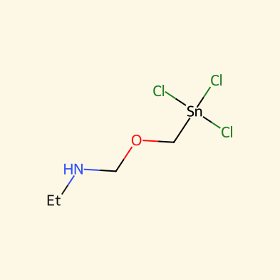 CCNCO[CH2][Sn]([Cl])([Cl])[Cl]